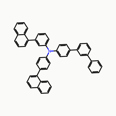 c1ccc(-c2cccc(-c3ccc(N(c4ccc(-c5cccc6ccccc56)cc4)c4cccc(-c5cccc6ccccc56)c4)cc3)c2)cc1